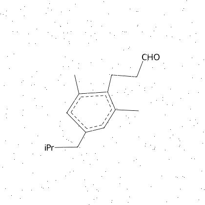 Cc1cc(CC(C)C)cc(C)c1CCC=O